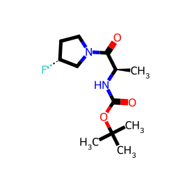 C[C@@H](NC(=O)OC(C)(C)C)C(=O)N1CC[C@@H](F)C1